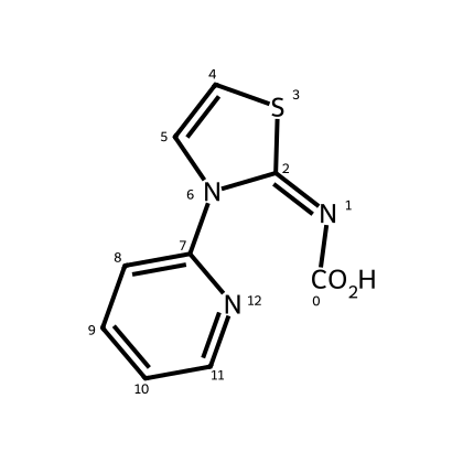 O=C(O)/N=c1/sccn1-c1ccccn1